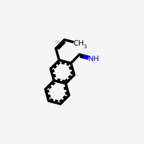 C/C=C\c1cc2ccccc2cc1C=N